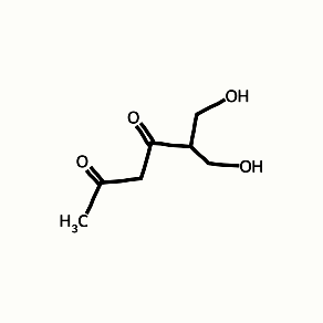 CC(=O)CC(=O)C(CO)CO